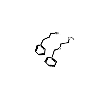 NCCCc1ccccc1.NCCSCc1ccccc1